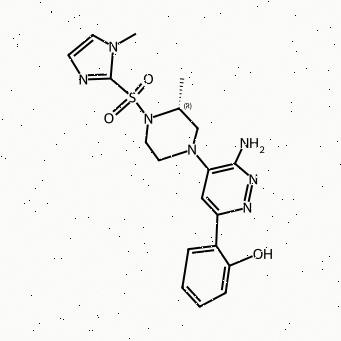 C[C@@H]1CN(c2cc(-c3ccccc3O)nnc2N)CCN1S(=O)(=O)c1nccn1C